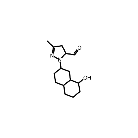 CC1=NN(C2CCC3CCCC(O)C3C2)C(C=O)C1